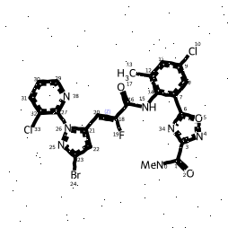 CNC(=O)c1noc(-c2cc(Cl)cc(C)c2NC(=O)/C(F)=C/c2cc(Br)nn2-c2ncccc2Cl)n1